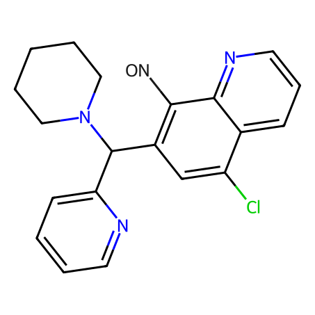 O=Nc1c(C(c2ccccn2)N2CCCCC2)cc(Cl)c2cccnc12